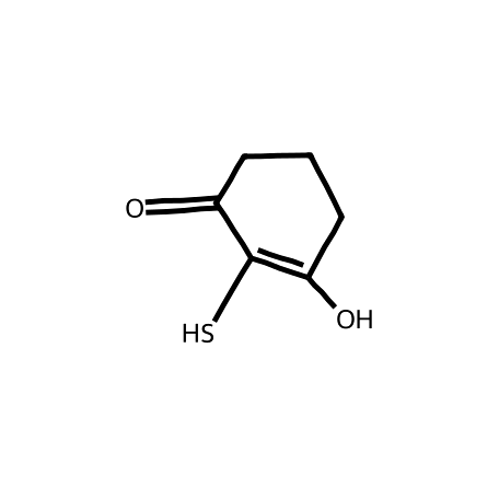 O=C1CCCC(O)=C1S